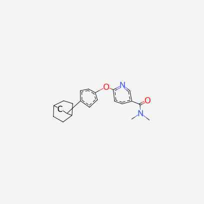 CN(C)C(=O)c1ccc(Oc2ccc(C3CC4CCC3CC4)cc2)nc1